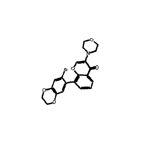 O=c1c(N2CCOCC2)coc2c(-c3cc4c(cc3Br)OCCO4)cccc12